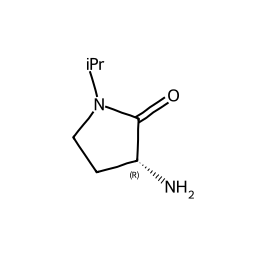 CC(C)N1CC[C@@H](N)C1=O